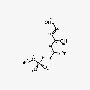 CC(C)OS(=O)(=O)CCC(CC(O)C=CC=O)C(C)C